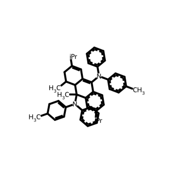 Cc1ccc(N(C2=C3C=C(C(C)C)CC(C)C3C(C)(N(C3=CCC(C)C=C3)c3ccccc3)c3cc(C(C)C)ccc32)c2ccccc2)cc1